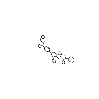 O=C(c1ccc(-c2cc(Cl)c(CN3CCC(C4CCCCC4)C3=O)c(Cl)c2)cc1)N1CCOCC1